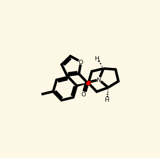 Cc1ccc([C@H]2C[C@H]3CC[C@@H](C2)N3C(=O)c2ccco2)cc1